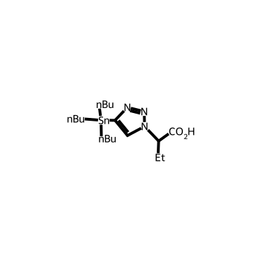 CCC[CH2][Sn]([CH2]CCC)([CH2]CCC)[c]1cn(C(CC)C(=O)O)nn1